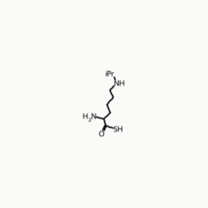 CC(C)NCCCCC(N)C(=O)S